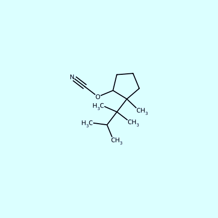 CC(C)C(C)(C)C1(C)CCCC1OC#N